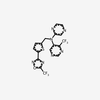 FC(F)(F)c1nc(-c2ccc(CN(c3cnccn3)c3cncnc3C(F)(F)F)s2)no1